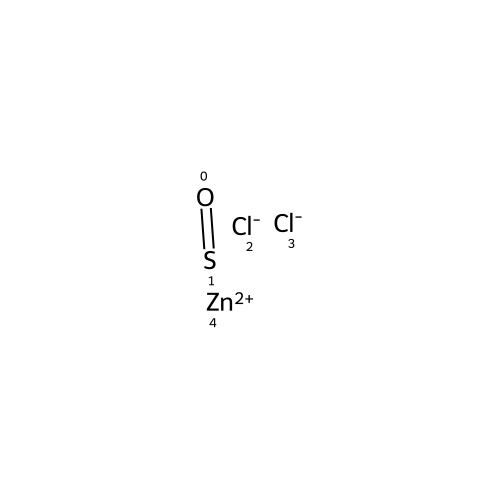 O=S.[Cl-].[Cl-].[Zn+2]